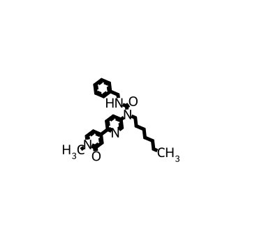 CCCCCCCN(C(=O)NCc1ccccc1)c1ccc(-c2ccn(C)c(=O)c2)nc1